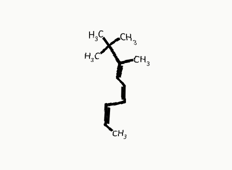 C\C=C/C=C\C=C(/C)C(C)(C)C